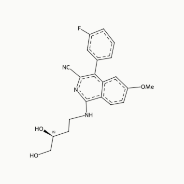 COc1ccc2c(NCC[C@H](O)CO)nc(C#N)c(-c3cccc(F)c3)c2c1